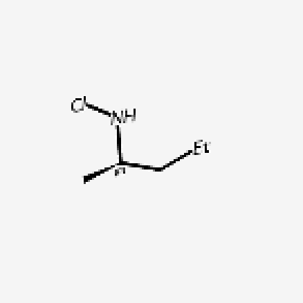 CCC[C@@H](C)NCl